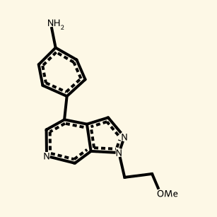 COCCn1ncc2c(-c3ccc(N)cc3)cncc21